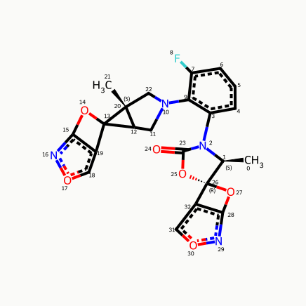 C[C@@H]1N(c2cccc(F)c2N2CC3C4(Oc5nocc54)[C@]3(C)C2)C(=O)O[C@@]12Oc1nocc12